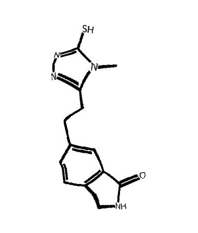 Cn1c(S)nnc1CCc1ccc2c(c1)C(=O)NC2